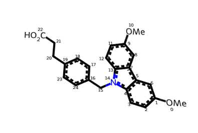 COc1ccc2c(c1)c1cc(OC)ccc1n2Cc1ccc(CCC(=O)O)cc1